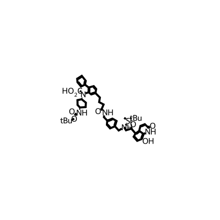 CC(C)(C)OC(=O)N[C@H]1CC[C@H](N(C(=O)O)c2cc(CCCC(=O)NCc3ccc(CNCC(O[Si](C)(C)C(C)(C)C)c4ccc(O)c5[nH]c(=O)ccc45)cc3)ccc2-c2ccccc2)CC1